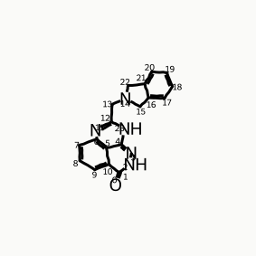 O=c1[nH]nc2c3c(cccc13)N=C(CN1Cc3ccccc3C1)N2